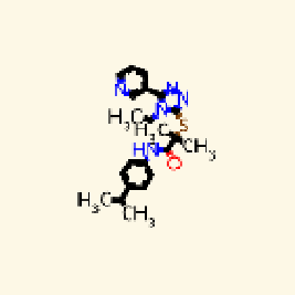 CCn1c(SC(C)(C)C(=O)Nc2ccc(C(C)C)cc2)nnc1-c1cccnc1